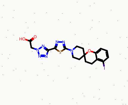 O=C(O)Cn1nnc(-c2nnc(N3CCC4(CCc5c(I)cccc5O4)CC3)s2)n1